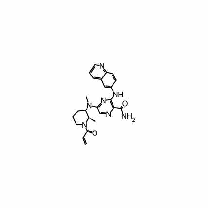 C=CC(=O)N1CCC[C@@H](N(C)c2cnc(C(N)=O)c(Nc3ccc4ncccc4c3)n2)[C@H]1C